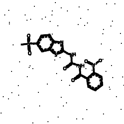 CS(=O)(=O)c1ccc2nc(NC(=O)NC(=O)c3ccccc3[N+](=O)[O-])sc2c1